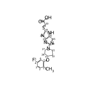 Cc1ccc(F)cc1OC1CCN(c2ncc3[nH]c(SCC(=O)O)nc3n2)CC1